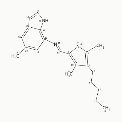 CCCCCc1c(C)[nH]c(/C=N/c2cc(C)cc3cc[nH]c23)c1C